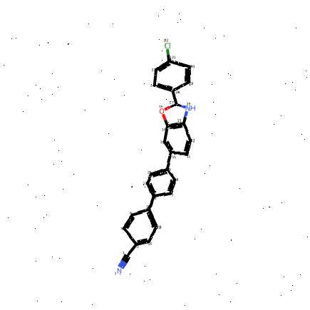 N#Cc1ccc(-c2ccc(-c3ccc4c(c3)OC(c3ccc(Cl)cc3)N4)cc2)cc1